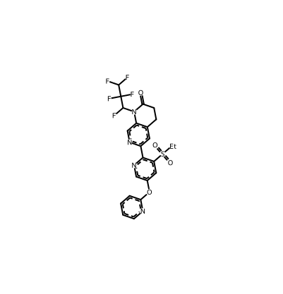 CCS(=O)(=O)c1cc(Oc2ccccn2)cnc1-c1cc2c(cn1)N(C(F)C(F)(F)C(F)F)C(=O)CC2